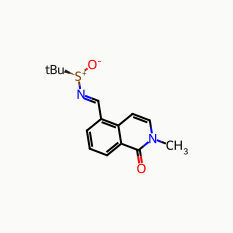 Cn1ccc2c(/C=N/[S@+]([O-])C(C)(C)C)cccc2c1=O